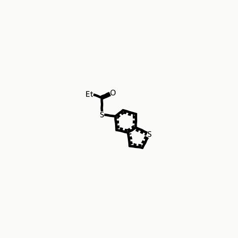 CCC(=O)Sc1ccc2sccc2c1